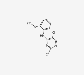 CC(C)Sc1ccccc1Nc1nc(Cl)ncc1Cl